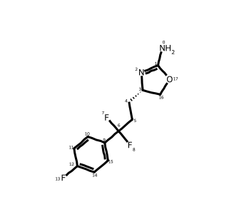 NC1=N[C@@H](CCC(F)(F)c2ccc(F)cc2)CO1